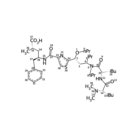 CCCO[C@H](CC(C(C)C)N(CCC)C(=O)[C@@H](NC(=O)[C@H]([C@@H](C)CC)N(C)C)[C@@H](C)CC)c1nc(C(=O)N[C@@H](Cc2ccccc2)C[C@H](C)C(=O)O)cs1